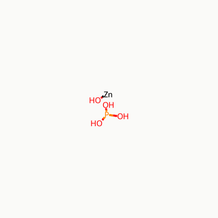 OP(O)O.[OH][Zn]